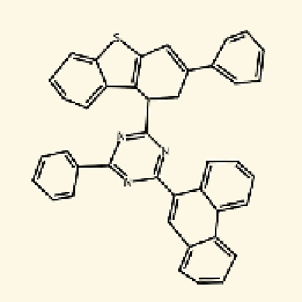 C1=C(c2ccccc2)CC(c2nc(-c3ccccc3)nc(-c3cc4ccccc4c4ccccc34)n2)c2c1sc1ccccc21